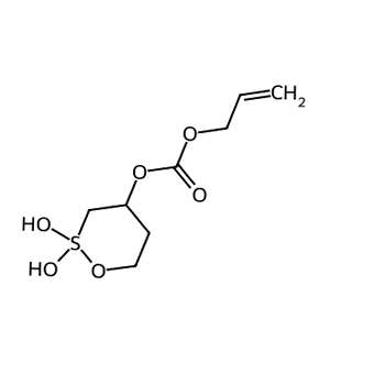 C=CCOC(=O)OC1CCOS(O)(O)C1